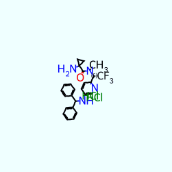 CN(C(=O)C1(N)CC1)[C@@H](c1ccc(NC(c2ccccc2)c2ccccc2)cn1)C(F)(F)F.Cl.Cl